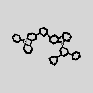 C1=CCC(N2C3C=CC=CC3C3C=C(C4C=C(c5ccc6c(c5)c5ccccc5n6C5C=C(c6ccccc6)C=C(c6ccccc6)C5)C=CC4)C=CC32)C=C1